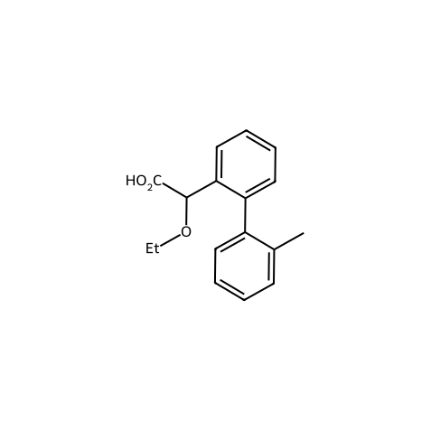 CCOC(C(=O)O)c1ccccc1-c1ccccc1C